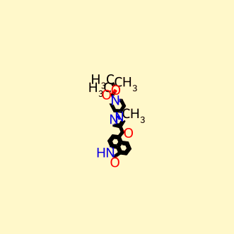 CC(C)(C)OC(=O)N1CCC(C)(n2cc(C(=O)c3ccc4c5c(cccc35)C(=O)N4)cn2)CC1